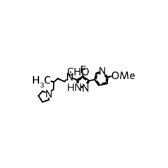 COc1ccc(-c2n[nH]c(N(C=O)CCC(C)CN3CCCC3)c2F)cn1